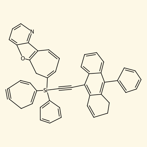 C1#CCC=C([Si](C#Cc2c3c(c(-c4ccccc4)c4ccccc24)CCC=C3)(C2=CC=Cc3c(oc4cccnc34)C2)c2ccccc2)C=C1